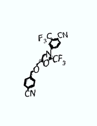 N#Cc1ccc(COC[C@H]2CN(c3ccc(C#N)c(C(F)(F)F)c3)[C@H](C(F)(F)F)O2)cc1